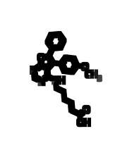 COc1ccc(-c2c(-c3ccccc3)oc3ncnc(NCCC/C=C/C(=O)O)c23)cc1